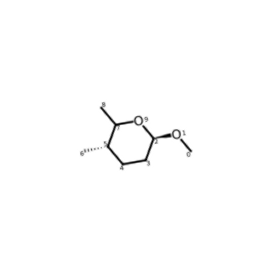 CO[C@H]1CC[C@H](C)C(C)O1